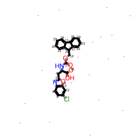 O=C(NC(Cc1nc2ccc(Cl)cc2o1)C(=O)O)OCC1c2ccccc2-c2ccccc21